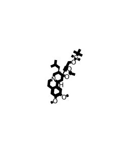 COc1cc2c(cc1OC)[C@H]1C[C@@](C#CCO[Si](C)(C)C(C)(C)C)(OC(C)=O)[C@H](CC(C)C)CN1CC2